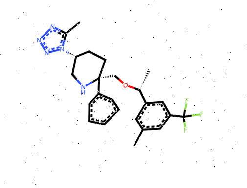 Cc1cc([C@@H](C)OC[C@@]2(c3ccccc3)CC[C@@H](n3nnnc3C)CN2)cc(C(F)(F)F)c1